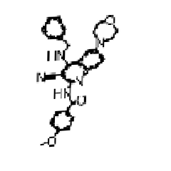 COc1ccc(C(=O)Nc2nc3ccc(N4CCOCC4)cc3c(NCc3ccccc3)c2C#N)cc1